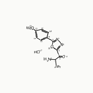 CCCC(N)C(=O)c1nnc(-c2ccc(OC)cc2)o1.Cl